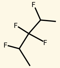 CC(F)C(F)(F)C(C)F